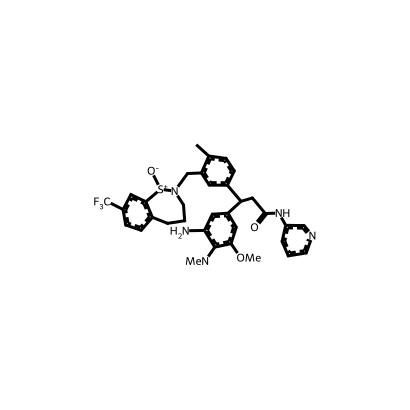 CNc1c(N)cc(C(CC(=O)Nc2cccnc2)c2ccc(C)c(CN3CCCc4ccc(C(F)(F)F)cc4[S+]3[O-])c2)cc1OC